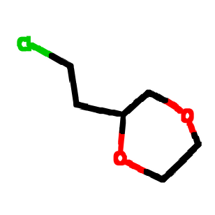 ClCCC1COCCO1